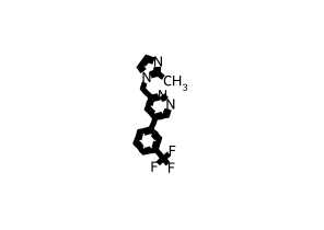 Cc1nccn1Cc1cc(-c2cccc(C(F)(F)F)c2)cnn1